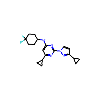 FC1(F)CCC(Nc2cc(C3CC3)nc(-n3ccc(C4CC4)n3)n2)CC1